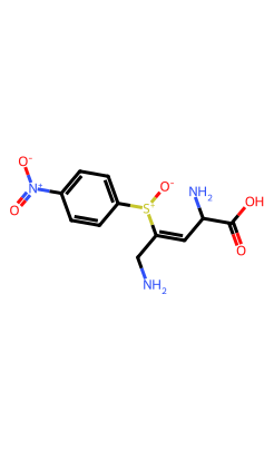 NC/C(=C/C(N)C(=O)O)[S+]([O-])c1ccc([N+](=O)[O-])cc1